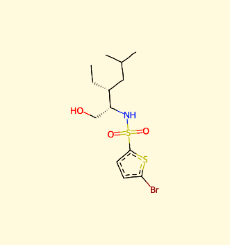 CC[C@H](CC(C)C)[C@@H](CO)NS(=O)(=O)c1ccc(Br)s1